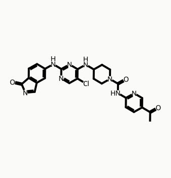 CC(=O)c1ccc(NC(=O)N2CCC(Nc3nc(Nc4ccc5c(c4)C=NC5=O)ncc3Cl)CC2)nc1